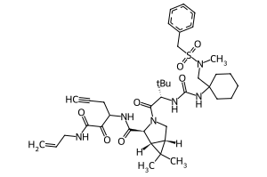 C#CCC(NC(=O)[C@@H]1[C@@H]2[C@H](CN1C(=O)[C@@H](NC(=O)NC1(CN(C)S(=O)(=O)Cc3ccccc3)CCCCC1)C(C)(C)C)C2(C)C)C(=O)C(=O)NCC=C